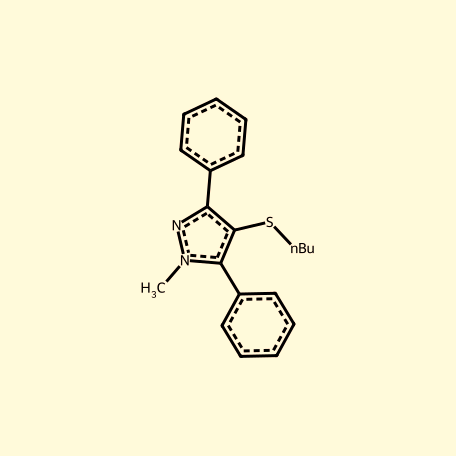 CCCCSc1c(-c2ccccc2)nn(C)c1-c1ccccc1